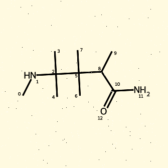 CNC(C)(C)C(C)(C)C(C)C(N)=O